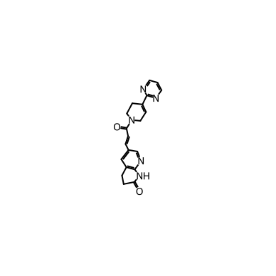 O=C1CCc2cc(C=CC(=O)N3CC=C(c4ncccn4)CC3)cnc2N1